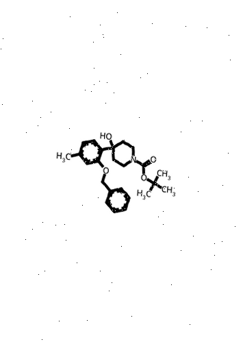 Cc1ccc(C2(O)CCN(C(=O)OC(C)(C)C)CC2)c(OCc2ccccc2)c1